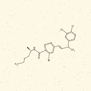 C[C@H](CSCC(F)(F)F)NC(=O)c1ccc(/C=C/C(c2ccc(Cl)c(Cl)c2)C(F)(F)F)cc1Br